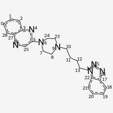 c1ccc2nc(N3CCN(CCCCn4nnc5ccccc54)CC3)cnc2c1